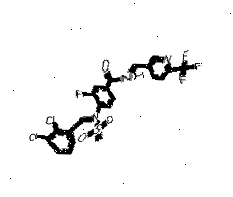 CS(=O)(=O)N(Cc1cccc(Cl)c1Cl)c1ccc(C(=O)NCc2ccc(C(F)(F)F)nc2)cc1F